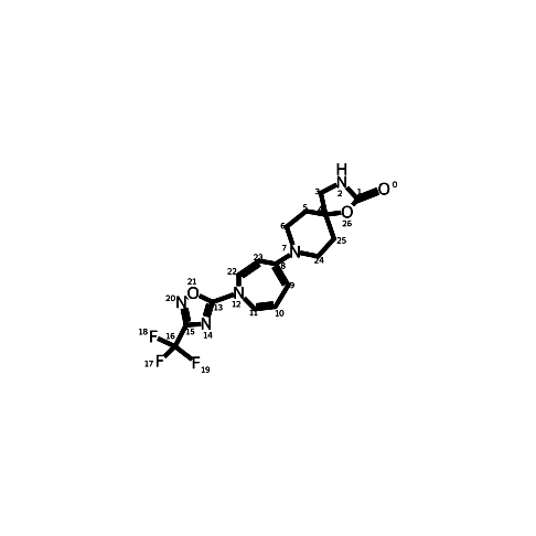 O=C1NCC2(CCN(C3=CC=CN(c4nc(C(F)(F)F)no4)C=C3)CC2)O1